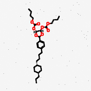 CCCCOC(=O)O[C@H]1OC(c2ccc(CCCC[C@H]3CC[C@H](CCC)CC3)cc2)O[C@@H]1OC(=O)OCCCC